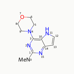 CNc1nc(N2CCOCC2)c2[nH]ccc2n1